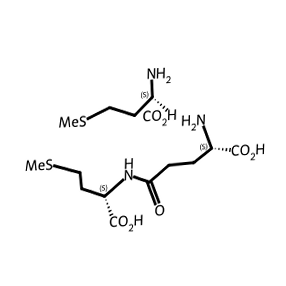 CSCC[C@H](N)C(=O)O.CSCC[C@H](NC(=O)CC[C@H](N)C(=O)O)C(=O)O